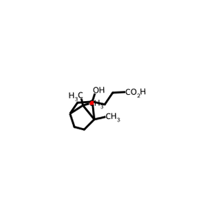 CC1(C)C2CCC1(C)C(O)(CCC(=O)O)C2